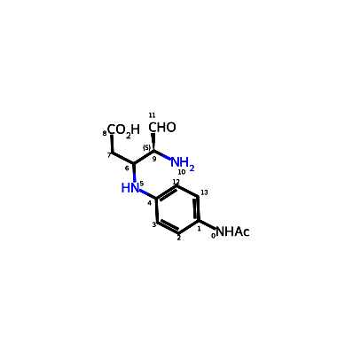 CC(=O)Nc1ccc(NC(CC(=O)O)[C@H](N)C=O)cc1